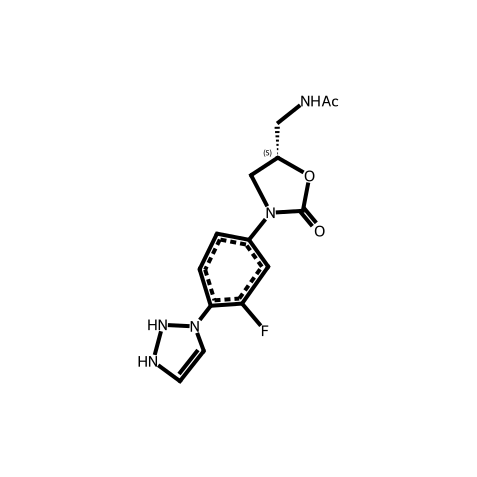 CC(=O)NC[C@H]1CN(c2ccc(N3C=CNN3)c(F)c2)C(=O)O1